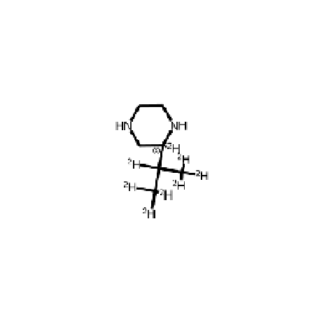 [2H]C([2H])([2H])C([2H])(C([2H])([2H])[2H])[C@@]1([2H])CNCCN1